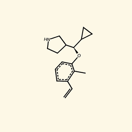 C=Cc1cccc(O[C@H](C2CC2)C2CCNC2)c1C